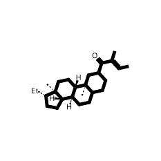 CC=C(C)C(=O)C1CCC2CC[C@H]3[C@@H]4CC[C@H](CC)[C@@]4(C)CC[C@@H]3[C@@]2(C)C1